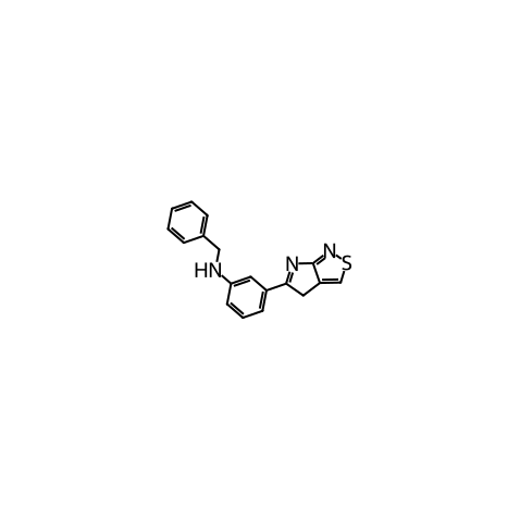 c1ccc(CNc2cccc(C3=Nc4nscc4C3)c2)cc1